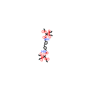 C=CC(=O)OCC(COC(=O)C=C)(COC(=O)C=C)COC(=O)NCC1CCC(CC2CCCC(CNC(=O)OCC(COC(=O)C=C)(COC(=O)C=C)COC(=O)C=C)C2)CC1